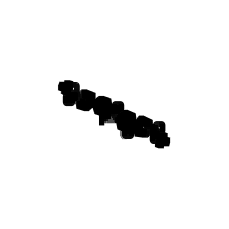 COc1cc(NC(=O)c2ccc(C3=CCN(C(=O)OC(C)(C)C)CC3)cc2F)ccc1C1=CCN(C(=O)OC(C)(C)C)CC1